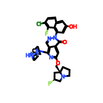 O=c1c2cc(OC[C@@]34CCCN3C[C@H](F)C4)nc(N3CC4CNCC3CN4)c2cnn1-c1cc(O)cc2ccc(Cl)c(F)c12